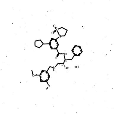 COc1cc(CNC[C@@H](O)[C@H](Cc2ccccc2)NC(=O)c2cc(C3CCCC3)cc(N3CCCS3(=O)=O)c2)cc(OC)c1.Cl